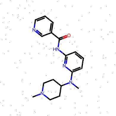 CN1CCC(N(C)c2cccc(NC(=O)c3cccnc3)n2)CC1